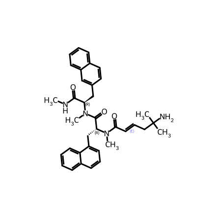 CNC(=O)[C@@H](Cc1ccc2ccccc2c1)N(C)C(=O)[C@@H](Cc1cccc2ccccc12)N(C)C(=O)/C=C/CC(C)(C)N